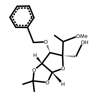 COC(C)[C@@]1(CO)O[C@@H]2OC(C)(C)O[C@@H]2[C@@H]1OCc1ccccc1